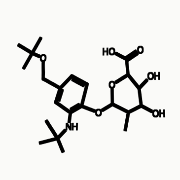 CC1C(Oc2ccc(COC(C)(C)C)cc2NC(C)(C)C)OC(C(=O)O)C(O)C1O